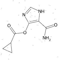 NC(=O)c1[nH]cnc1OC(=O)C1CC1